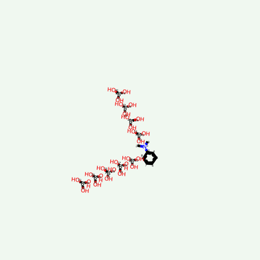 CN(C)c1ccccc1.OB(O)O.OB(O)O.OB(O)O.OB(O)O.OB(O)O.OB(O)O.OB(O)O.OB(O)O.OB(O)O